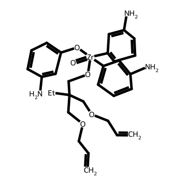 C=CCOCC(CC)(COCC=C)C[O][Zr](=[O])([O]c1cccc(N)c1)([c]1cccc(N)c1)[c]1cccc(N)c1